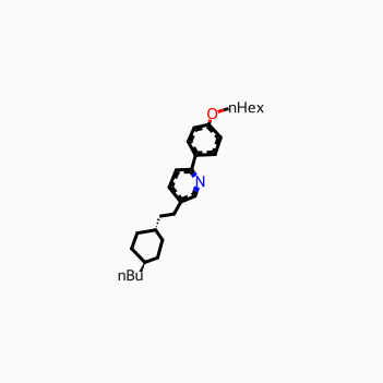 CCCCCCOc1ccc(-c2ccc(CC[C@H]3CC[C@H](CCCC)CC3)cn2)cc1